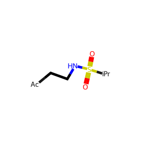 CC(=O)CCNS(=O)(=O)C(C)C